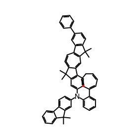 CC1(C)C2=C=CC3=C(C=C2c2ccc(N(c4ccc5c(c4)C(C)(C)c4ccccc4-5)c4ccccc4C4=CC=CCC=C4)cc21)C(C)(C)c1ccc(-c2ccccc2)cc13